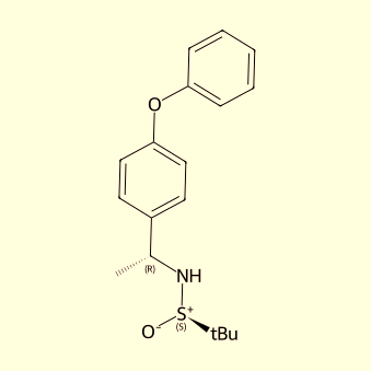 C[C@@H](N[S@+]([O-])C(C)(C)C)c1ccc(Oc2ccccc2)cc1